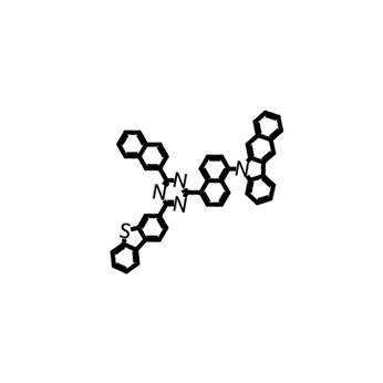 c1ccc2cc(-c3nc(-c4ccc5c(c4)sc4ccccc45)nc(-c4cccc5c(-n6c7ccccc7c7cc8ccccc8cc76)cccc45)n3)ccc2c1